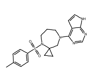 Cc1ccc(S(=O)(=O)N2CCCN(c3ncnc4[nH]ccc34)CC23CC3)cc1